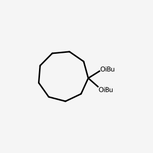 CC(C)COC1(OCC(C)C)CCCCCCCC1